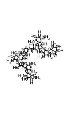 NCC1O[C@H](OC2C(N)C[C@@H](N)C(O)[C@H]2O[C@@H]2O[C@H](CNC(=S)Nc3cccc(NC(=S)NC[C@H]4O[C@@H](OC5C(O[C@@H]6OC(CN)C(O)[C@H](O)C6N)C(N)C[C@H](N)[C@@H]5O)C(O)C4O[C@@H]4O[C@H](CN)C(O)C(O)C4N)c3)C(O[C@H]3O[C@@H](CN)C(O)C(O)C3N)[C@@H]2O)C(N)[C@@H](O)C1O